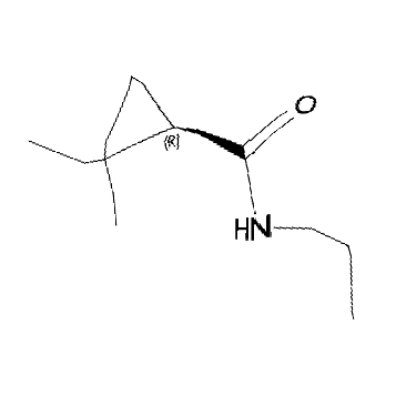 CCNC(=O)[C@@H]1CC1(C)C